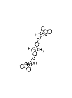 CC(C)(c1ccc(OCC(O)CP2(=O)Oc3ccccc3C3=C2C=CCC3)cc1)c1ccc(OCC(O)CP2(=O)Oc3ccccc3C3=C2C=CCC3)cc1